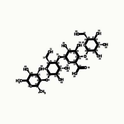 CC1O[C@@H](C)[C@H](O[C@@H]2O[C@H](CO)[C@@H](O[C@@H]3O[C@H](C(=O)O)[C@@H](O[C@@H]4O[C@H](CO)[C@@H](O)[C@H](O)[C@H]4O)[C@H](O)[C@H]3O)[C@H](O)[C@H]2O)[C@@H](O)[C@H]1O